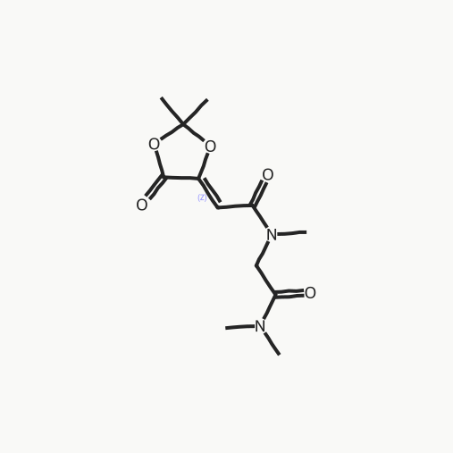 CN(C)C(=O)CN(C)C(=O)/C=C1\OC(C)(C)OC1=O